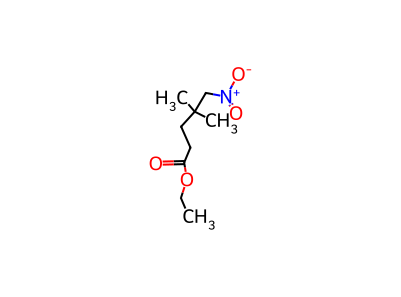 CCOC(=O)CCC(C)(C)C[N+](=O)[O-]